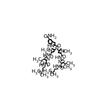 CC(C)c1sc(NC(=O)c2cc(N(C(=O)c3cc4cc(C(N)=O)ccc4[nH]3)c3cc(C(=O)Nc4nc(C(=O)NCCCN(C)C)c(C(C)C)s4)n(C)c3)cn2C)nc1C(=O)NCCCN(C)C